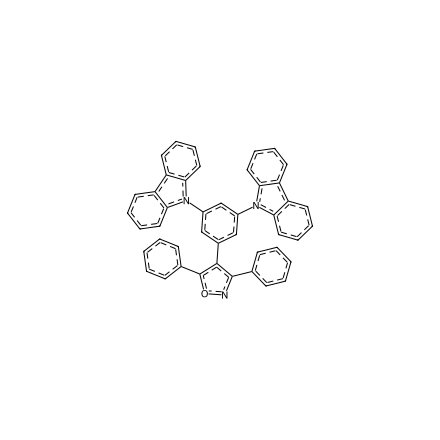 c1ccc(-c2noc(-c3ccccc3)c2-c2cc(-n3c4ccccc4c4ccccc43)cc(-n3c4ccccc4c4ccccc43)c2)cc1